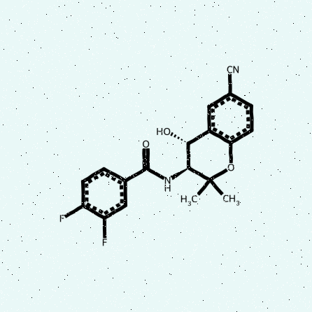 CC1(C)Oc2ccc(C#N)cc2[C@@H](O)[C@@H]1NC(=O)c1ccc(F)c(F)c1